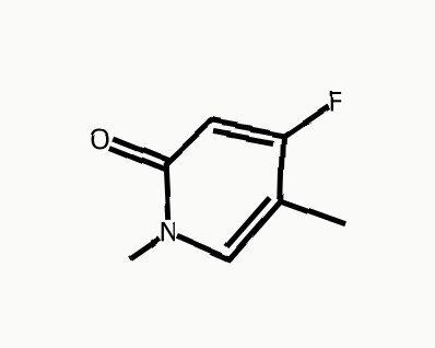 Cc1cn(C)c(=O)cc1F